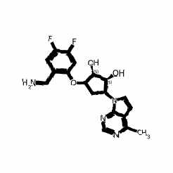 Cc1ncnc2c1ccn2C1CC(Oc2cc(F)c(F)cc2CN)[C@@H](O)[C@H]1O